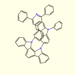 c1ccc(-c2cc(-c3cccc(-n4c5ccccc5c5ccc6c7ccccc7n(-c7ccc8c(c7)c7ccccc7n8-c7ccccc7)c6c54)c3)cc(-c3ccccc3)n2)cc1